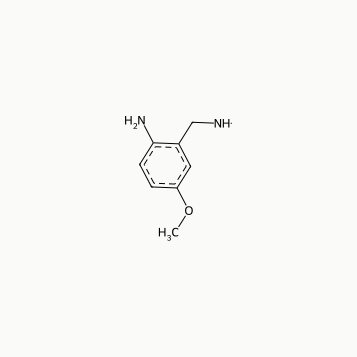 COc1ccc(N)c(C[NH])c1